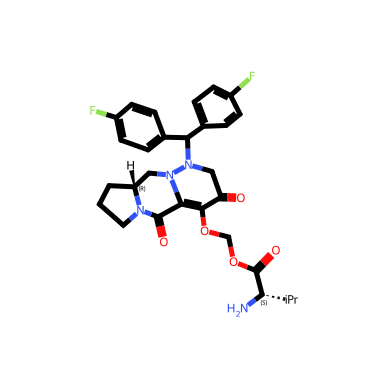 CC(C)[C@H](N)C(=O)OCOC1=C2C(=O)N3CCC[C@@H]3CN2N(C(c2ccc(F)cc2)c2ccc(F)cc2)CC1=O